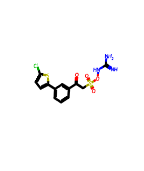 N=C(N)NOS(=O)(=O)CC(=O)c1cccc(-c2ccc(Cl)s2)c1